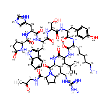 CC(=O)CNC(=O)[C@@H]1CCCN1C(=O)[C@H](CCCNC(=N)N)NC(=O)[C@H](CC(C)C)NC(=O)[C@@H](CCCCCN)NC(=O)[C@H](Cc1ccc(O)cc1)NC(=O)C(CO)NC(=O)[C@H](Cc1c[nH]c2ccccc12)NC(=O)[C@H](Cc1cnc[nH]1)NC(=O)[C@@H]1CCC(=O)N1